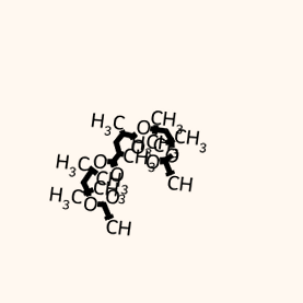 C#CC(=O)OC(C)(C)CC(C)(C)OC(=O)C(C)CC(C)C(=O)OC(C)(C)CC(C)(C)OC(=O)C#C